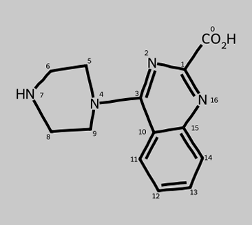 O=C(O)c1nc(N2CCNCC2)c2ccccc2n1